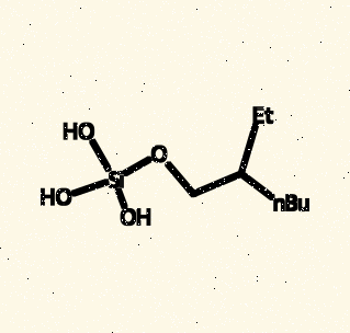 CCCCC(CC)CO[Si](O)(O)O